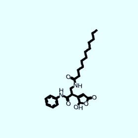 CCCCCCCCCCCC(=O)NCC(C(=O)Nc1ccccc1)C1=CC(=O)OC1O